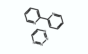 c1ccc(-c2ccccn2)nc1.c1cnnnn1